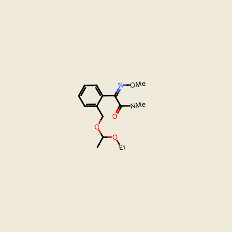 CCOC(C)OCc1ccccc1/C(=N/OC)C(=O)NC